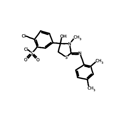 Cc1ccc(N=C2SCC(O)(c3ccc(Cl)c(S(=O)(=O)Cl)c3)N2C)c(C)c1